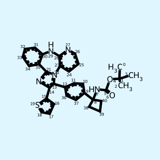 CC(C)(C)OC(=O)NC1(c2ccc(-c3c(-c4cccs4)nc4n3-c3cccnc3Nc3ccccc3-4)cc2)CCC1